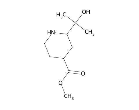 COC(=O)C1CCNC(C(C)(C)O)C1